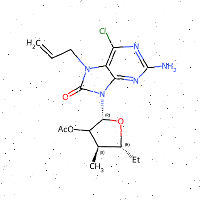 C=CCn1c(=O)n([C@@H]2O[C@H](CC)[C@@H](C)C2OC(C)=O)c2nc(N)nc(Cl)c21